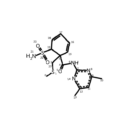 CSCC1(C(=O)Nc2nc(C)cc(C)n2)C=CC=CC1S(N)(=O)=O